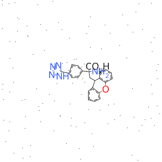 NC(CC1c2ccccc2Oc2ccccc21)(C(=O)O)c1ccc(-c2nnn[nH]2)cc1